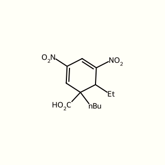 CCCCC1(C(=O)O)C=C([N+](=O)[O-])C=C([N+](=O)[O-])C1CC